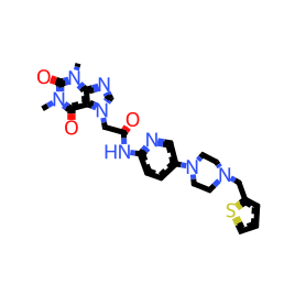 Cn1c(=O)c2c(ncn2CC(=O)Nc2ccc(N3CCN(Cc4cccs4)CC3)cn2)n(C)c1=O